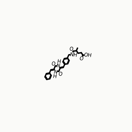 CC(CCC(=O)O)C(=O)NCc1ccc(C=c2[nH]c(=O)c(=Cc3ccccc3)[nH]c2=O)cc1